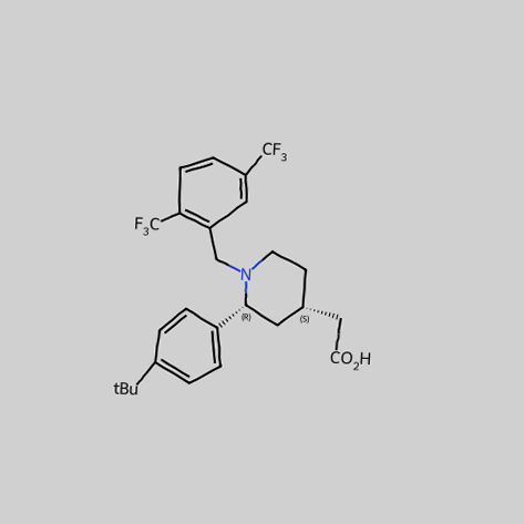 CC(C)(C)c1ccc([C@H]2C[C@@H](CC(=O)O)CCN2Cc2cc(C(F)(F)F)ccc2C(F)(F)F)cc1